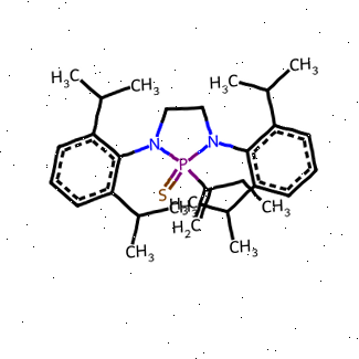 C=C(CC)P1(=S)N(c2c(C(C)C)cccc2C(C)C)CCN1c1c(C(C)C)cccc1C(C)C